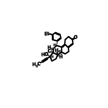 CC#C[C@]1(O)CC[C@H]2[C@@H]3CCC4=CC(=O)CCC4=C3[C@@H](c3cccc(CC)c3)C[C@@]21C